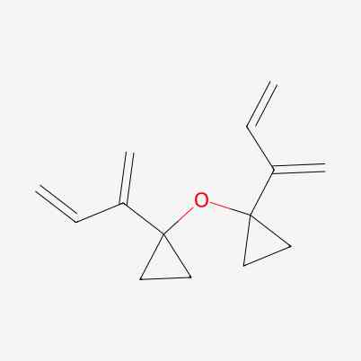 C=CC(=C)C1(OC2(C(=C)C=C)CC2)CC1